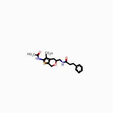 O=C(CCc1ccccc1)NCC1Cc2c(sc(NC(=O)C(=O)O)c2C(=O)O)CO1